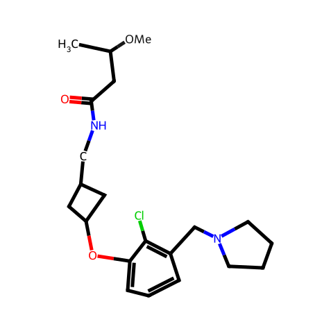 COC(C)CC(=O)NCC1CC(Oc2cccc(CN3CCCC3)c2Cl)C1